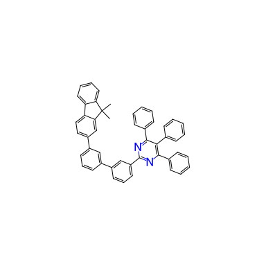 CC1(C)c2ccccc2-c2ccc(-c3cccc(-c4cccc(-c5nc(-c6ccccc6)c(-c6ccccc6)c(-c6ccccc6)n5)c4)c3)cc21